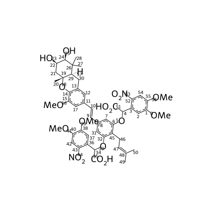 COc1cc(C(Oc2cc(/C=C/c3cc4c(c(OC)c3)O[C@]3(C)C[C@@H](O)[C@@H](O)C(C)(C)[C@H]3C4)cc(OC(C(=O)O)c3cc(OC)c(OC)cc3[N+](=O)[O-])c2CC=C(C)C)C(=O)O)c([N+](=O)[O-])cc1OC